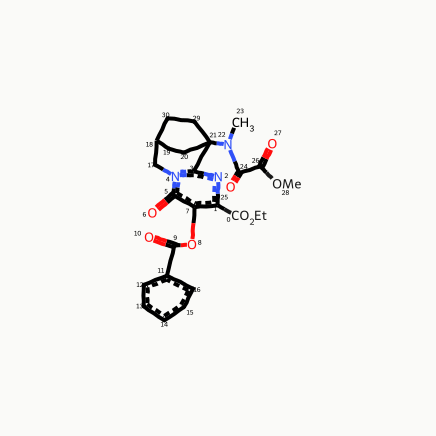 CCOC(=O)c1nc2n(c(=O)c1OC(=O)c1ccccc1)CC1CCC2(N(C)C(=O)C(=O)OC)CC1